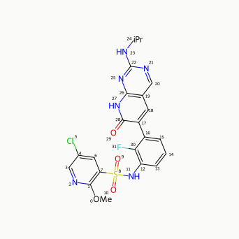 COc1ncc(Cl)cc1S(=O)(=O)Nc1cccc(-c2cc3cnc(NC(C)C)nc3[nH]c2=O)c1F